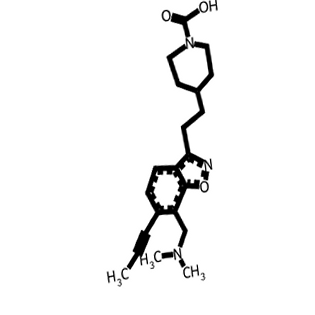 CC#Cc1ccc2c(CCC3CCN(C(=O)O)CC3)noc2c1CN(C)C